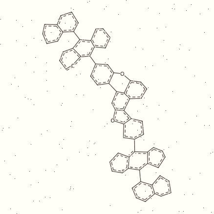 c1ccc2c(-c3c4ccccc4c(-c4ccc5c(c4)Oc4cccc6c4c-5cc4oc5cc(-c7c8ccccc8c(-c8cccc9ccccc89)c8ccccc78)ccc5c46)c4ccccc34)cccc2c1